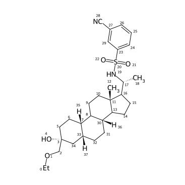 CCOC[C@@]1(O)CC[C@@H]2C3CC[C@@]4(C)C(CCC4[C@@H](C)NS(=O)(=O)c4cccc(C#N)c4)[C@@H]3CC[C@@H]2C1